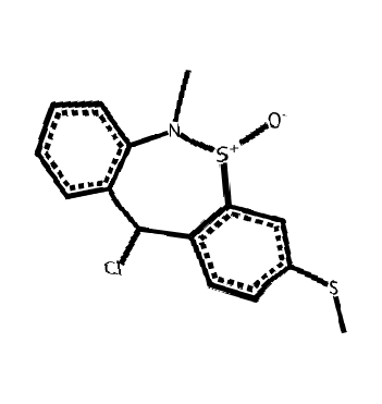 CSc1ccc2c(c1)[S+]([O-])N(C)c1ccccc1C2Cl